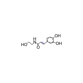 O=C(/C=C/c1ccc(O)c(O)c1)NCCO